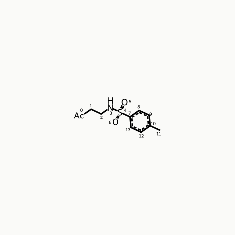 CC(=O)CCNS(=O)(=O)c1ccc(C)cc1